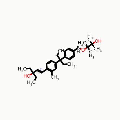 CCC(O)(/C=C/c1ccc(C(CC)(CC)c2ccc(BOC(C)(C)C(C)(C)O)cc2)cc1C)CC